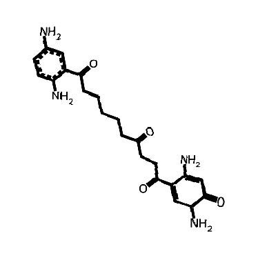 NC1=CC(=O)C(N)C=C1C(=O)CCC(=O)CCCCCC(=O)c1cc(N)ccc1N